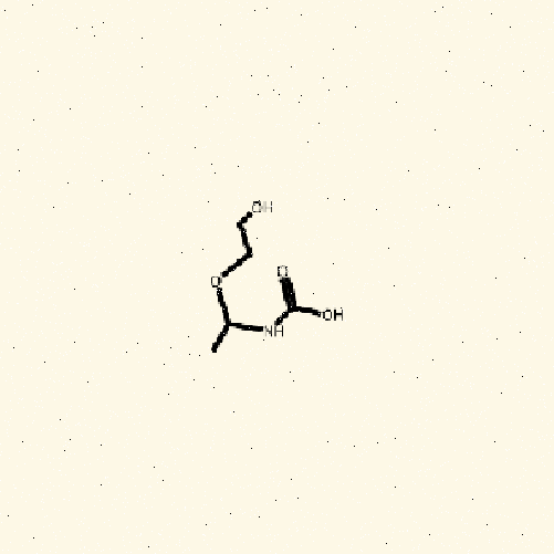 CC(NC(=O)O)OCCO